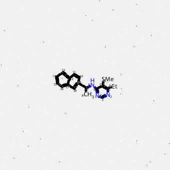 CCc1ncnc(NC(C)c2ccc3ccccc3c2)c1SC